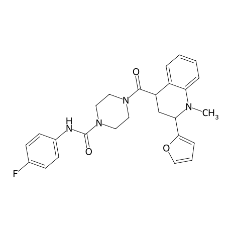 CN1c2ccccc2C(C(=O)N2CCN(C(=O)Nc3ccc(F)cc3)CC2)CC1c1ccco1